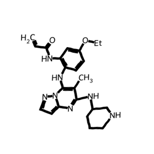 C=CC(=O)Nc1cc(OCC)ccc1Nc1c(C)c(NC2CCCNC2)nc2ccnn12